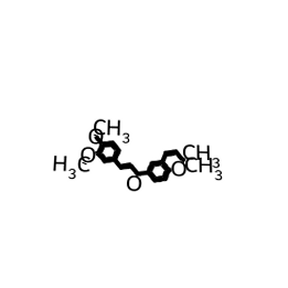 COc1ccc(C=CC(=O)c2ccc3c(c2)C=CC(C)(C)O3)cc1OC